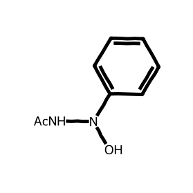 CC(=O)NN(O)c1ccccc1